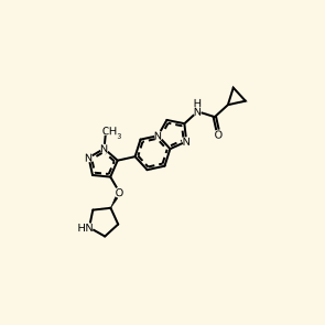 Cn1ncc(O[C@H]2CCNC2)c1-c1ccc2nc(NC(=O)C3CC3)cn2c1